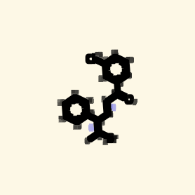 C/C(Br)=C(/C=C/C(=O)c1cccc(Cl)c1)c1ccccc1